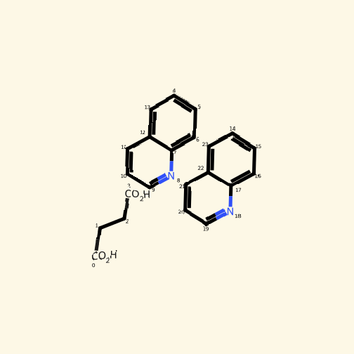 O=C(O)CCC(=O)O.c1ccc2ncccc2c1.c1ccc2ncccc2c1